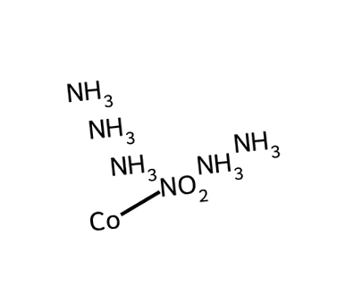 N.N.N.N.N.O=[N+]([O-])[Co]